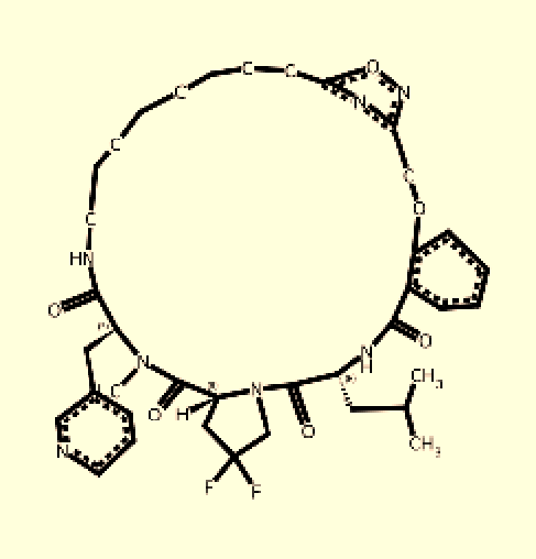 CC(C)C[C@H]1NC(=O)c2ccccc2OCc2noc(n2)CCCCCCCCNC(=O)[C@H](Cc2cccnc2)N(C)C(=O)[C@H]2CC(F)(F)CN2C1=O